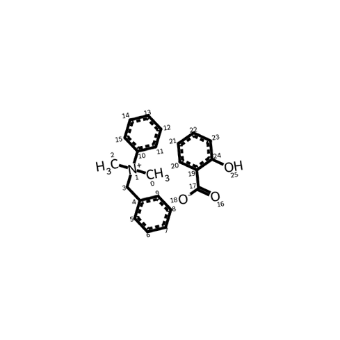 C[N+](C)(Cc1ccccc1)c1ccccc1.O=C([O-])c1ccccc1O